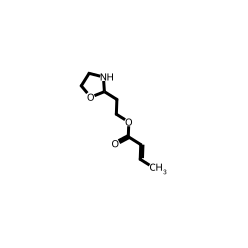 CC=CC(=O)OCCC1NCCO1